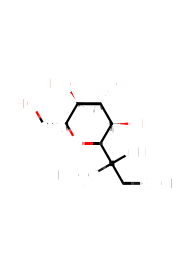 CC(CC(=O)O)(C(=O)O)C1O[C@H](CO)[C@@H](O)[C@H](O)[C@H]1O